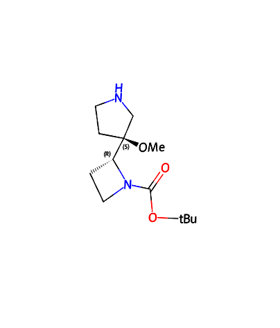 CO[C@@]1([C@H]2CCN2C(=O)OC(C)(C)C)CCNC1